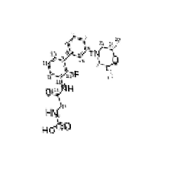 C[C@@H]1CN(c2cccc(-c3cccc(NC(=O)CNC(=O)O)c3F)c2)C[C@H](C)O1